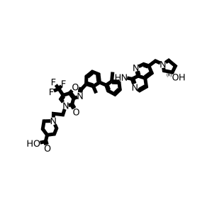 Cc1c(Nc2nccc3cc(CN4CC[C@@H](O)C4)cnc23)cccc1-c1cccc(-c2nc3c(=O)n(CCN4CCC(C(=O)O)CC4)cc(C(F)(F)F)c3o2)c1C